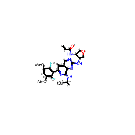 C=CC(=O)N[C@H]1COC[C@H]1Nc1ncc2cc(-c3c(F)c(OC)cc(OC)c3F)nc(NC(C)C(C)(C)C)c2n1